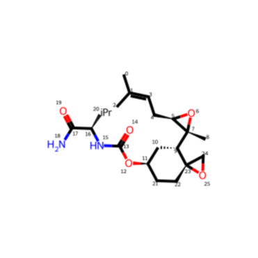 CC(C)=CC[C@H]1O[C@]1(C)[C@H]1C[C@H](OC(=O)N[C@@H](C(N)=O)C(C)C)CC[C@]12CO2